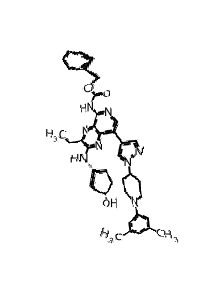 CCc1nc2c(NC(=O)OCc3ccccc3)ncc(-c3cnn(C4CCN(c5cc(C)cc(C)c5)CC4)c3)c2nc1N[C@@H]1CC[C@H](O)C1